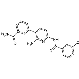 Cc1cccc(C(=O)Nc2ccc(-c3cccc(C(N)=O)c3)c(N)n2)c1